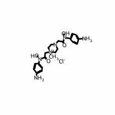 C[N+]1(CC(=O)N(O)c2ccc(N)cc2)CCN(CC(=O)N(O)c2ccc(N)cc2)CC1.[Cl-]